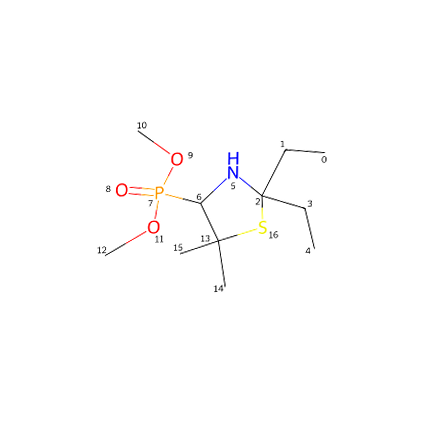 CCC1(CC)NC(P(=O)(OC)OC)C(C)(C)S1